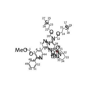 COCOc1cc(-c2cnn3c(N(COCC[Si](C)(C)C)COCC[Si](C)(C)C)cc(C4CC5CCC(C4)N5C(=O)OC(C)(C)C)nc23)cnc1-c1ccccc1